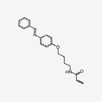 C=CC(=O)NCCCCOc1ccc(N=Nc2ccccc2)cc1